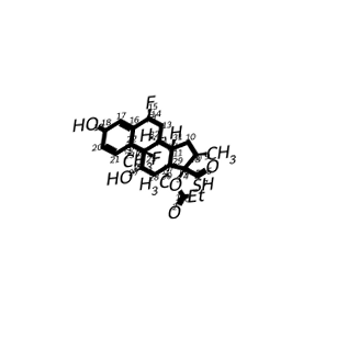 CCC(=O)O[C@]1(C(=O)S)[C@H](C)C[C@H]2[C@@H]3C[C@H](F)C4=CC(O)C=C[C@]4(C)[C@@]3(F)[C@@H](O)C[C@@]21C